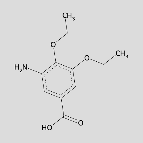 CCOc1cc(C(=O)O)cc(N)c1OCC